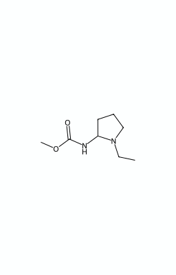 CCN1CCCC1NC(=O)OC